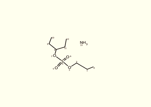 CCCOS(=O)(=O)OC(CC)CC.N